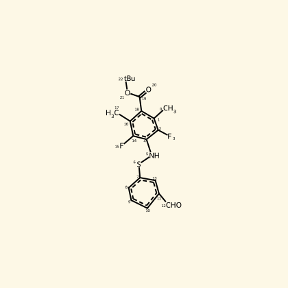 Cc1c(F)c(NSc2cccc(C=O)c2)c(F)c(C)c1C(=O)OC(C)(C)C